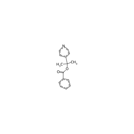 CC(C)(OC(=O)c1ccccc1)c1ccncc1